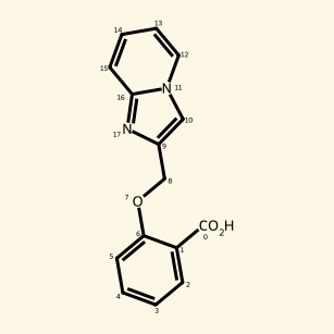 O=C(O)c1ccccc1OCc1cn2ccccc2n1